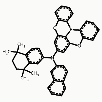 CC1(C)CCC(C)(C)c2cc(N(c3cc4c5c(c3)Oc3ccccc3B5c3ccccc3O4)c3ccc4ccccc4c3)ccc21